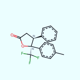 Cc1ccc([C@@]2(C(F)(F)F)OC(=O)C[C@H]2c2ccccc2)cc1